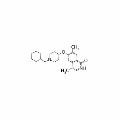 Cc1cc2c(=O)[nH]cc(C)c2cc1OC1CCN(CC2CCCCC2)CC1